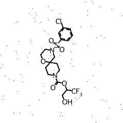 O=C(OC(CO)C(F)(F)F)N1CCC2(CC1)CN(S(=O)(=O)c1cccc(Cl)c1)CCO2